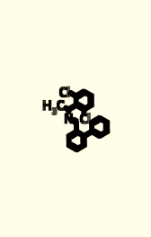 CC(N=Cc1ccccc1-c1ccccc1)c1c(Cl)cccc1Cl